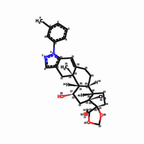 Cc1cccc(-n2ncc3c2C=C2CC[C@@H]4[C@H]([C@@H](O)C[C@@]5(C)[C@H]4CC[C@@]54OCOC45COCO5)[C@@]2(C)C3)c1